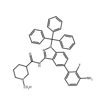 Nc1cccc(-c2ccc3c(c2)c(NC(=O)C2CCCN(C(=O)O)C2)nn3C(c2ccccc2)(c2ccccc2)c2ccccc2)c1F